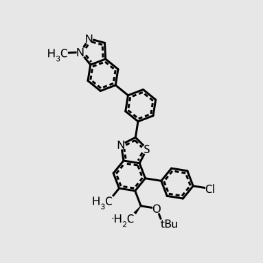 [CH2][C@H](OC(C)(C)C)c1c(C)cc2nc(-c3cccc(-c4ccc5c(cnn5C)c4)c3)sc2c1-c1ccc(Cl)cc1